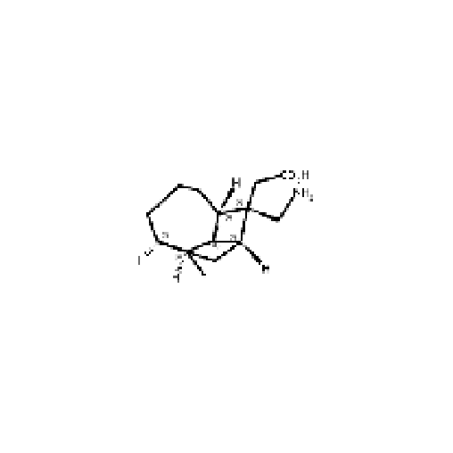 C[C@H]1[C@H]2CCC[C@@H]3[C@](CN)(CC(=O)O)[C@H](C2)[C@@]31C